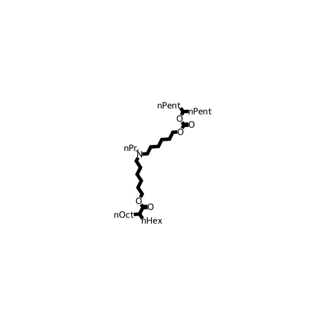 CCCCCCCCC(CCCCCC)C(=O)OCCCCCCN(CCC)CCCCCCOC(=O)OC(CCCCC)CCCCC